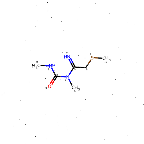 CNC(=O)N(C)C(=N)CSC